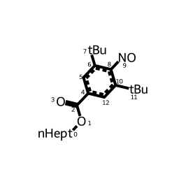 CCCCCCCOC(=O)c1cc(C(C)(C)C)c(N=O)c(C(C)(C)C)c1